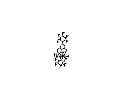 Fc1c(F)c(F)c(-c2cc3ccc4[nH]n(-c5c(F)c(F)c(F)c(F)c5F)[nH]n5ccc(c2)c3c45)c(F)c1F